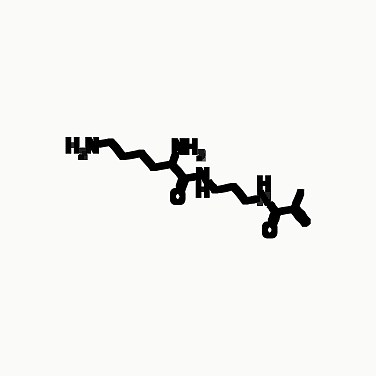 C=C(C)C(=O)NCCCNC(=O)C(N)CCCCN